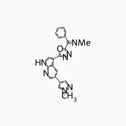 CN[C@@H](c1ccccc1)c1nnc(-c2c[nH]c3ncc(-c4cnn(C)c4)cc23)o1